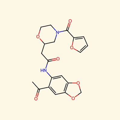 CC(=O)c1cc2c(cc1NC(=O)CC1CN(C(=O)c3ccco3)CCO1)OCO2